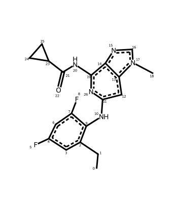 CCc1cc(F)cc(F)c1Nc1cc2c(ncn2C)c(NC(=O)C2CC2)n1